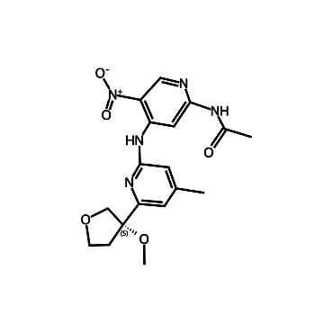 CO[C@]1(c2cc(C)cc(Nc3cc(NC(C)=O)ncc3[N+](=O)[O-])n2)CCOC1